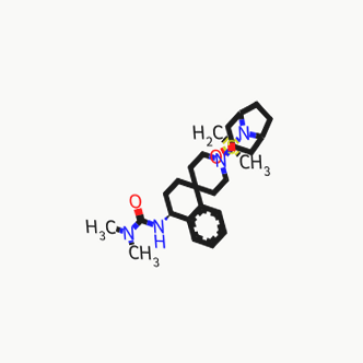 C=S(C)(=O)N1C2CCC1CC(N1CCC3(CC[C@@H](NC(=O)N(C)C)c4ccccc43)CC1)C2